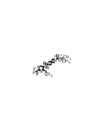 CCc1nc(C(F)(F)F)ncc1S(=O)(=O)N1CC2(CN(C(=O)OC(C)(C)C)C2)C1